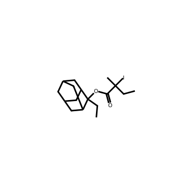 CCC(C)(I)C(=O)OC1(CC)C2CC3CC(C2)CC1C3